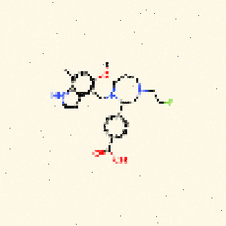 COc1cc(C)c2[nH]ccc2c1CN1CCCN(CCF)CC1c1ccc(C(=O)O)cc1